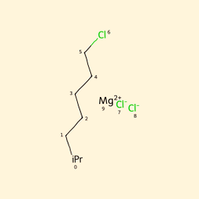 CC(C)CCCCCCl.[Cl-].[Cl-].[Mg+2]